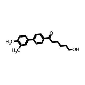 Cc1ccc(-c2ccc(C(=O)CCCCCO)cc2)cc1C